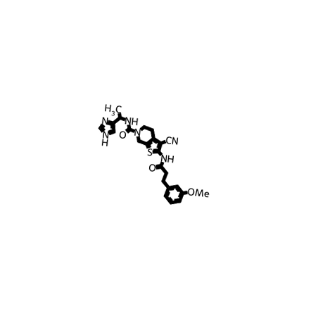 COc1cccc(CCC(=O)Nc2sc3c(c2C#N)CCN(C(=O)NC(C)c2c[nH]cn2)C3)c1